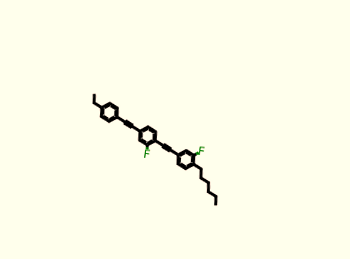 CCCCCCc1ccc(C#Cc2ccc(C#Cc3ccc(CC)cc3)cc2F)cc1F